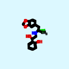 CC(Cc1ccc2c(c1)OCO2)NCC(O)c1ccccc1O.Cl